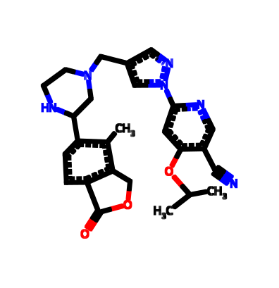 Cc1c(C2CN(Cc3cnn(-c4cc(OC(C)C)c(C#N)cn4)c3)CCN2)ccc2c1COC2=O